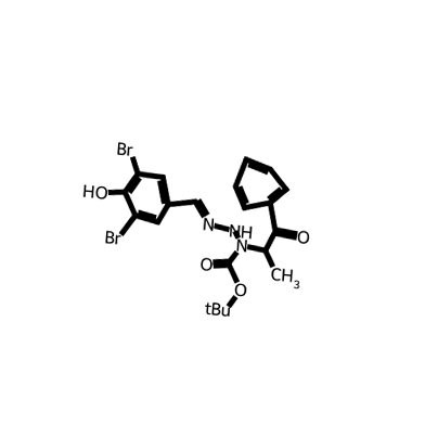 CC(C(=O)c1ccccc1)N(NN=Cc1cc(Br)c(O)c(Br)c1)C(=O)OC(C)(C)C